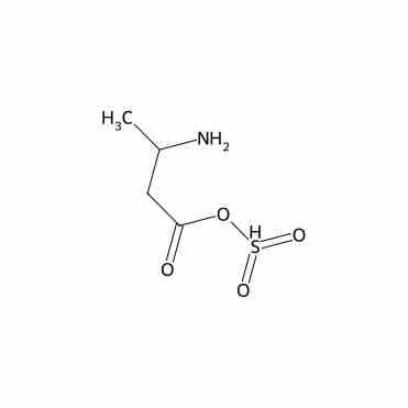 CC(N)CC(=O)O[SH](=O)=O